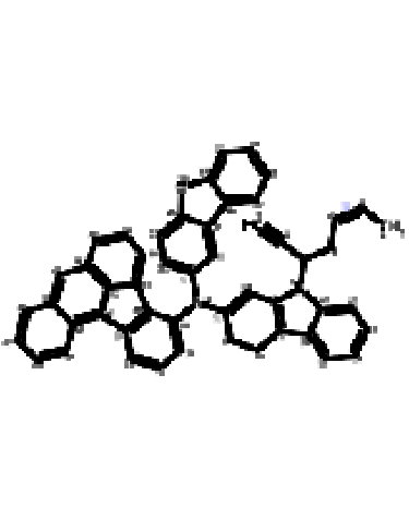 C#CC(C/C=C\C)n1c2c(c3ccccc31)CCC(N(c1ccc3oc4ccccc4c3c1)c1cccc3c1-c1cccc4cc5ccccc5c-3c14)=C2